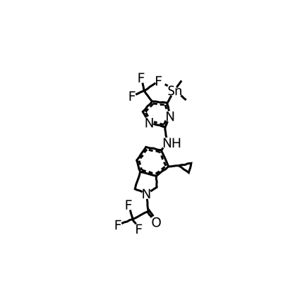 [CH3][Sn]([CH3])([CH3])[c]1nc(Nc2ccc3c(c2C2CC2)CN(C(=O)C(F)(F)F)C3)ncc1C(F)(F)F